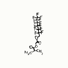 CC(C)C(=O)OCC(=O)OCC(F)(F)C(F)(F)C(F)(F)C(F)(F)C(F)(F)C(F)(F)F